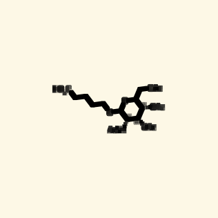 CC(=O)N[C@@H]1C(OCCCCC(=O)O)OC(COC(C)=O)[C@H](OC(C)=O)[C@@H]1OC(C)=O